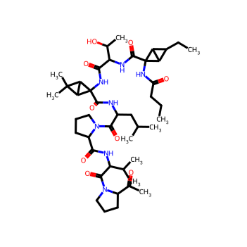 CCCC(=O)NC1(C(=O)NC(C(=O)NC2(C(=O)NC(CC(C)C)C(=O)N3CCCC3C(=O)NC(C(=O)N3CCCC3C(C)=O)C(C)C)C3C2C3(C)C)C(C)O)C2C(CC)C21